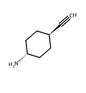 C#C[C@H]1CC[C@H](N)CC1